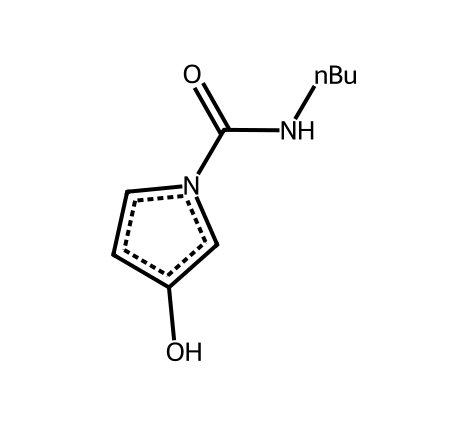 CCCCNC(=O)n1ccc(O)c1